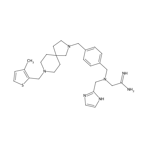 Cc1ccsc1CN1CCC2(CC1)CCN(Cc1ccc(CN(CC(=N)N)Cc3ncc[nH]3)cc1)C2